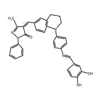 CC1=NN(c2ccccc2)C(=O)/C1=C\c1ccc2c(c1)CCCN2c1ccc(/N=C/c2ccc(O)c(O)c2)cc1